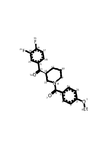 CCOc1ccc(C(=O)N2CCC[C@H](C(=O)c3ccc(F)c(F)c3)C2)cc1